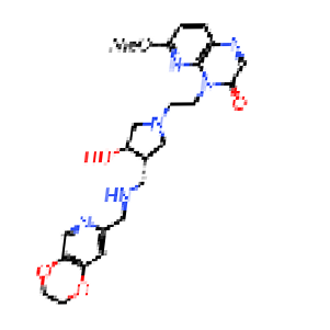 COc1ccc2ncc(=O)n(CCN3C[C@H](CNCc4cc5c(cn4)OCCO5)[C@@H](O)C3)c2n1